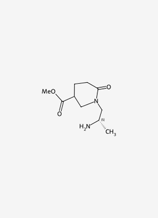 COC(=O)C1CCC(=O)N(C[C@H](C)N)C1